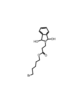 O=C(CCN1C(O)c2ccccc2C1O)OCCCCCBr